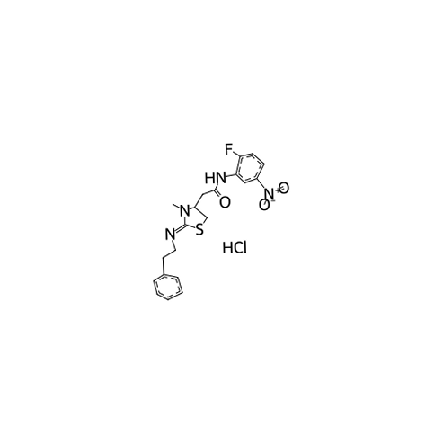 CN1C(=NCCc2ccccc2)SCC1CC(=O)Nc1cc([N+](=O)[O-])ccc1F.Cl